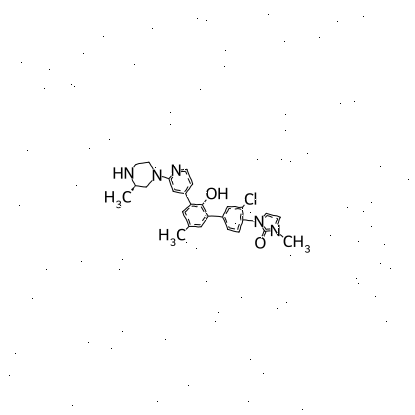 Cc1cc(-c2ccnc(N3CCN[C@H](C)C3)c2)c(O)c(-c2ccc(-n3ccn(C)c3=O)c(Cl)c2)c1